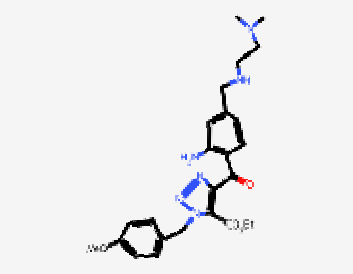 CCOC(=O)c1c(C(=O)c2ccc(CNCCN(C)C)cc2N)nnn1Cc1ccc(OC)cc1